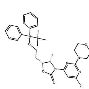 C[C@H]1[C@@H](CCO[Si](c2ccccc2)(c2ccccc2)C(C)(C)C)OC(=O)N1c1cc(Cl)nc(N2CCOCC2)n1